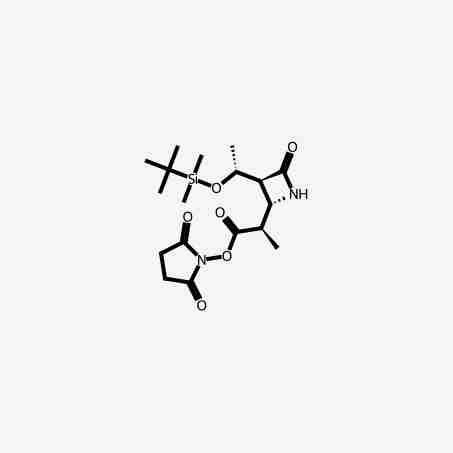 C[C@@H](O[Si](C)(C)C(C)(C)C)[C@H]1C(=O)N[C@@H]1[C@@H](C)C(=O)ON1C(=O)CCC1=O